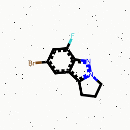 Fc1cc(Br)cc2c3n(nc12)CCC3